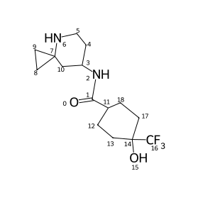 O=C(NC1CCNC2(CC2)C1)C1CCC(O)(C(F)(F)F)CC1